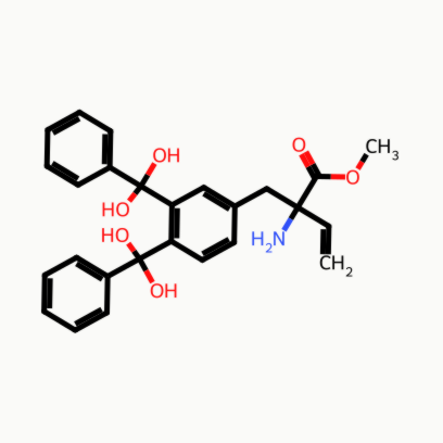 C=CC(N)(Cc1ccc(C(O)(O)c2ccccc2)c(C(O)(O)c2ccccc2)c1)C(=O)OC